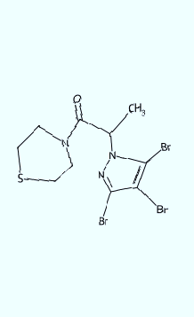 CC(C(=O)N1CCSCC1)n1nc(Br)c(Br)c1Br